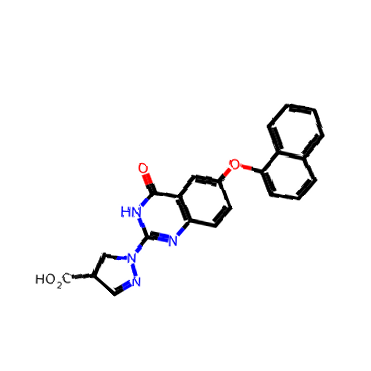 O=C(O)C1C=NN(c2nc3ccc(Oc4cccc5ccccc45)cc3c(=O)[nH]2)C1